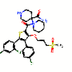 CS(=O)(=O)CCCOc1c(C(=O)[N+]2(C3(C(N)=O)CCNCC3)CCCCC2)sc(-c2ccc(Cl)cc2Cl)c1-c1ccc(Cl)cc1